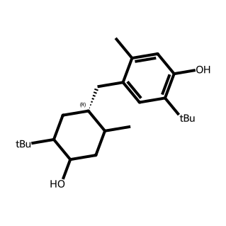 Cc1cc(O)c(C(C)(C)C)cc1C[C@H]1CC(C(C)(C)C)C(O)CC1C